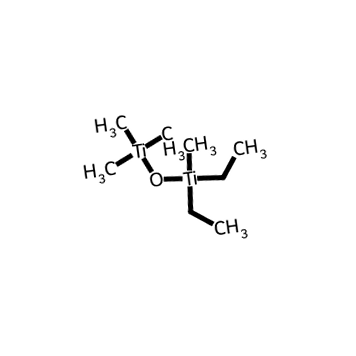 C[CH2][Ti]([CH3])([CH2]C)[O][Ti]([CH3])([CH3])[CH3]